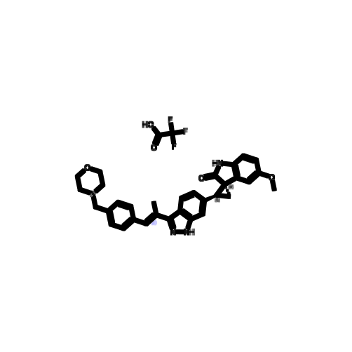 COc1ccc2c(c1)[C@]1(C[C@H]1c1ccc3c(/C(C)=C/c4ccc(CN5CCOCC5)cc4)n[nH]c3c1)C(=O)N2.O=C(O)C(F)(F)F